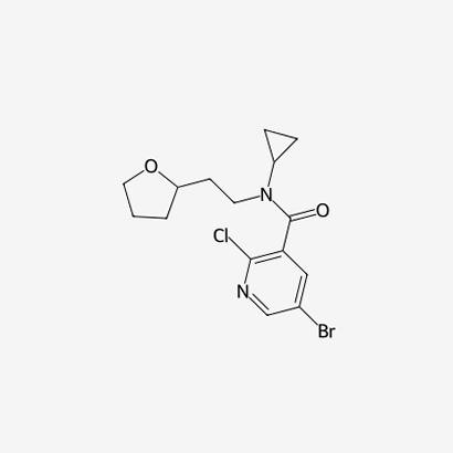 O=C(c1cc(Br)cnc1Cl)N(CCC1CCCO1)C1CC1